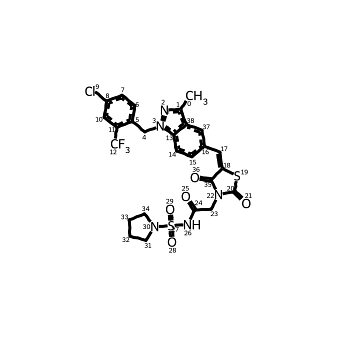 Cc1nn(Cc2ccc(Cl)cc2C(F)(F)F)c2ccc(C=C3SC(=O)N(CC(=O)NS(=O)(=O)N4CCCC4)C3=O)cc12